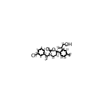 C[C@@H](c1cccc(Cl)c1)N1CC[C@](CCCO)(c2ccc(F)cc2)OC1=O